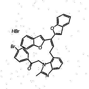 Br.Cc1nc2cccc(CC=C(c3cc4ccccc4o3)c3cc4ccccc4o3)c2n1CC(=O)c1ccc(Br)cc1